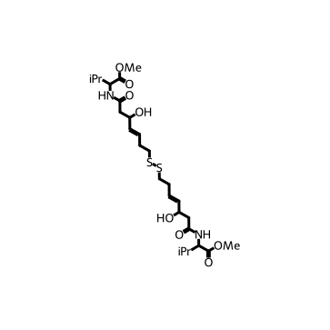 COC(=O)C(NC(=O)CC(O)C=CCCSSCCC=CC(O)CC(=O)NC(C(=O)OC)C(C)C)C(C)C